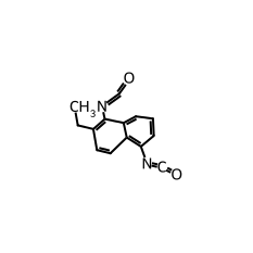 CCc1ccc2c(N=C=O)cccc2c1N=C=O